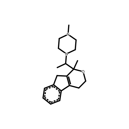 CC(N1CCN(C)CC1)C1(C)OCCC2=C1Cc1ccccc12